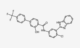 O=C(Nc1ccc(Cl)c(-c2nc3ccccc3[nH]2)c1)c1ccc(-c2ccc(C(F)(F)F)cc2)cc1O